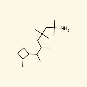 CC1CCC1C(C)[C@@H](C)CC(C)(C)CC(C)(C)N